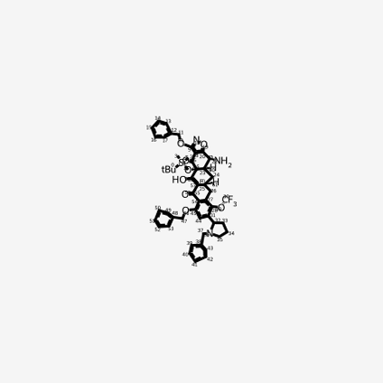 CC(C)(C)[Si](C)(C)O[C@@]12C(=O)c3c(OCc4ccccc4)noc3[C@@H](N)[C@@H]1C[C@@H]1Cc3c(OC(F)(F)F)c(C4CCCN4Cc4ccccc4)cc(OCc4ccccc4)c3C(=O)C1=C2O